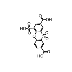 O=C(O)c1ccc2c(c1)S(=O)(=O)c1cc(C(=O)O)cc(S(=O)(=O)O)c1O2